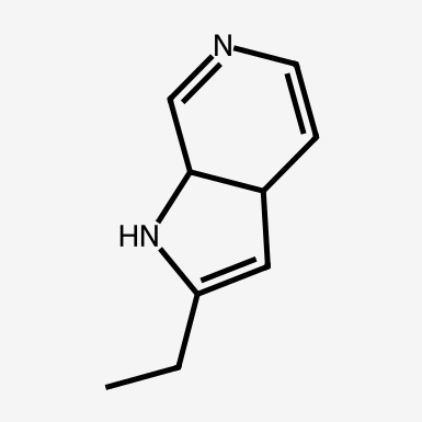 CCC1=CC2C=CN=CC2N1